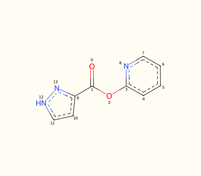 O=C(Oc1ccccn1)c1cc[nH]n1